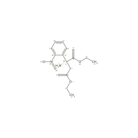 CCOC(=O)C[C@](N)(C(=O)OCC)c1ccccc1[N+](=O)[O-]